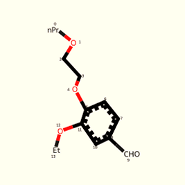 CCCOCCOc1ccc(C=O)cc1OCC